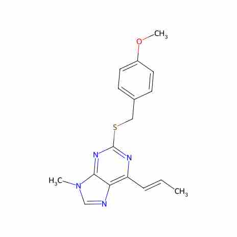 CC=Cc1nc(SCc2ccc(OC)cc2)nc2c1ncn2C